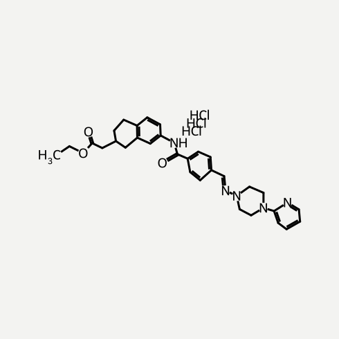 CCOC(=O)CC1CCc2ccc(NC(=O)c3ccc(C=NN4CCN(c5ccccn5)CC4)cc3)cc2C1.Cl.Cl.Cl